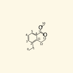 CCc1cccc(C(=O)OC)c1CC